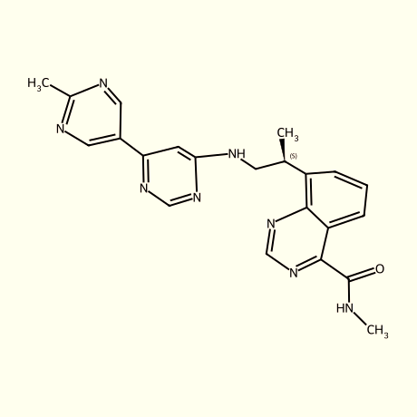 CNC(=O)c1ncnc2c([C@H](C)CNc3cc(-c4cnc(C)nc4)ncn3)cccc12